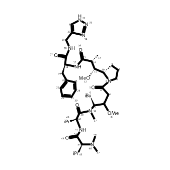 CC[C@H](C)C(C(CC(=O)N1CCC[C@H]1[C@H](OC)[C@@H](C)C(=O)N[C@@H](Cc1ccccc1)C(=O)NCc1c[nH]nn1)OC)N(C)C(=O)[C@@H](NC(=O)[C@H](C(C)C)N(C)C)C(C)C